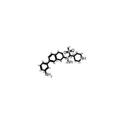 CCCN(C1CCc2ccc(-c3cccc(N)c3)cc2C1)C(C1CCNCC1)S(C)(=O)=O